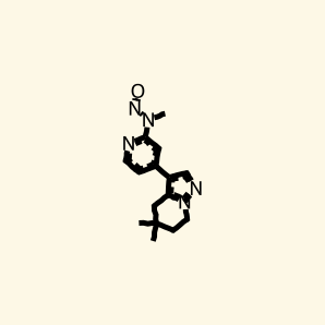 CN(N=O)c1cc(-c2cnn3c2CC(C)(C)CC3)ccn1